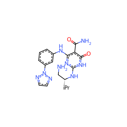 CC(C)[C@H](CN)Nc1nc(Nc2cccc(-n3nccn3)c2)c(C(N)=O)c(=O)[nH]1